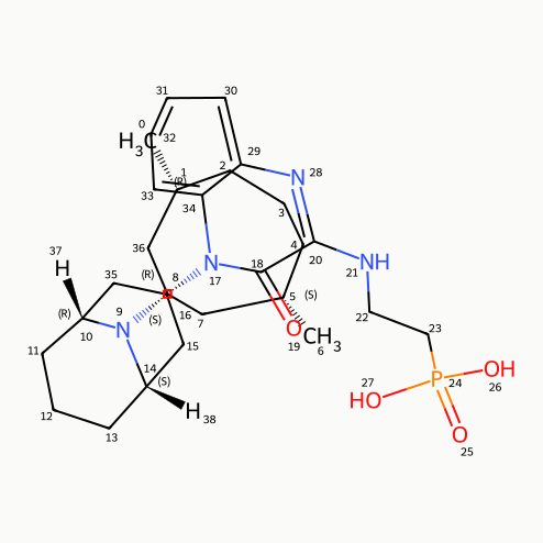 C[C@@H]1CCC[C@H](C)C[C@H](N2[C@@H]3CCC[C@H]2C[C@@H](n2c(=O)c(NCCP(=O)(O)O)nc4ccccc42)C3)C1